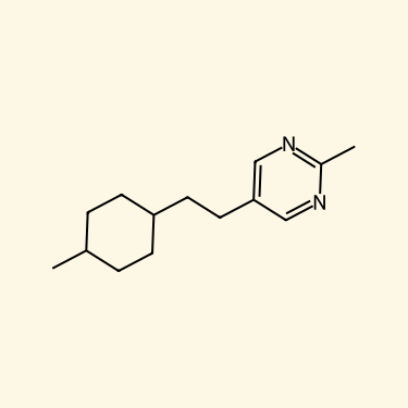 Cc1ncc(CCC2CCC(C)CC2)cn1